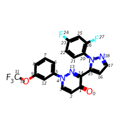 O=c1ccn(-c2cccc(OC(F)(F)F)c2)nc1-c1ccnn1-c1ccc(F)cc1F